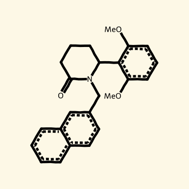 COc1cccc(OC)c1C1CCCC(=O)N1Cc1ccc2ccccc2c1